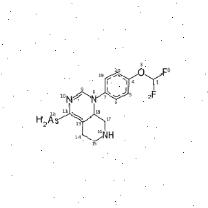 FC(F)Oc1ccc(N2C=NC([AsH2])=C3CCNCC32)cc1